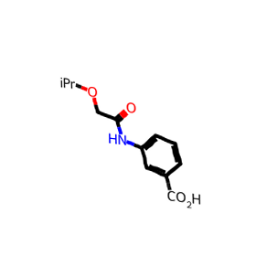 CC(C)OCC(=O)Nc1cccc(C(=O)O)c1